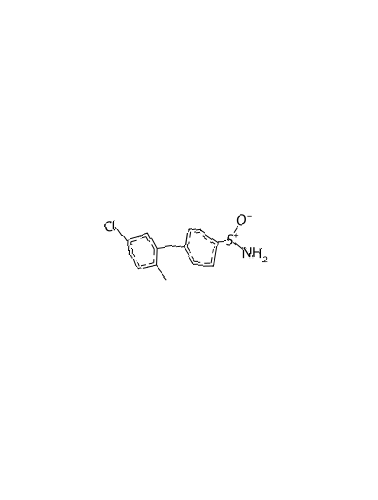 Cc1ccc(Cl)cc1-c1ccc([S+](N)[O-])cc1